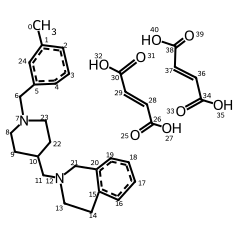 Cc1cccc(CN2CCC(CN3CCc4ccccc4C3)CC2)c1.O=C(O)C=CC(=O)O.O=C(O)C=CC(=O)O